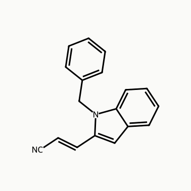 N#C/C=C/c1cc2ccccc2n1Cc1ccccc1